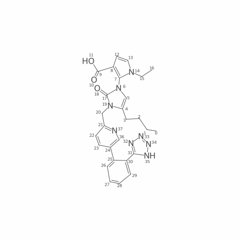 CCCCc1cn(-c2c(C(=O)O)ccn2CC)c(=O)n1Cc1ccc(-c2ccccc2-c2nnn[nH]2)cn1